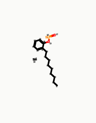 CCCCCCCCCc1ccccc1O[PH2]=O.[Nd]